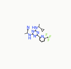 CC(C#N)Nc1nc(NC(C)C2CC2)nc(-c2cccc(C(F)(F)F)n2)n1